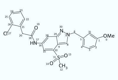 COc1cccc(Cn2cc3c(S(C)(=O)=O)cc(NC(=O)Cc4ccccc4Cl)cc3n2)c1